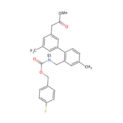 CCN(Cc1cc(C)ccc1-c1cc(CC(=O)OC)cc(C(F)(F)F)c1)C(=O)OCc1ccc(F)cc1